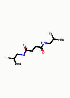 CCCCC(CC)CNC(=O)CCC(=O)NCC(CC)CCCC